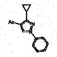 CC(=O)c1cn(-c2ccccc2)nc1C1CC1